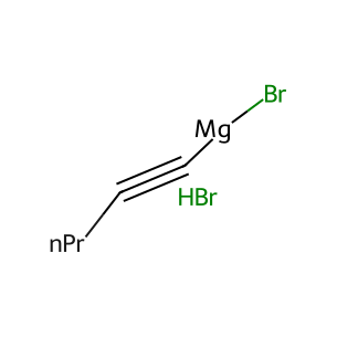 Br.CCCC#[C][Mg][Br]